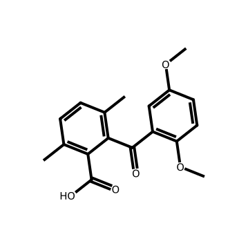 COc1ccc(OC)c(C(=O)c2c(C)ccc(C)c2C(=O)O)c1